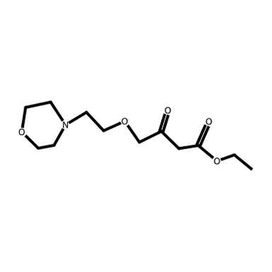 CCOC(=O)CC(=O)COCCN1CCOCC1